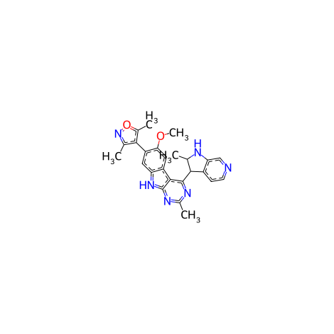 COc1cc2c(cc1-c1c(C)noc1C)[nH]c1nc(C)nc(C3c4ccncc4NC3C)c12